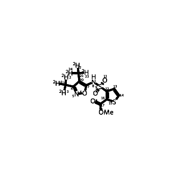 [2H]C([2H])([2H])c1noc(NS(=O)(=O)c2ccsc2C(=O)OC)c1C([2H])([2H])[2H]